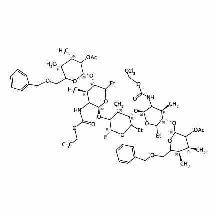 CCC1O[C@@H](OC2[C@@H](F)OC(CC)[C@@H](O[C@@H]3OC(CC)[C@@H](O[C@@H]4OC(COCc5ccccc5)[C@H](C)[C@H](C)C4OC(C)=O)[C@H](C)C3NC(=O)OCC(Cl)(Cl)Cl)[C@H]2C)C(NC(=O)OCC(Cl)(Cl)Cl)[C@@H](C)[C@@H]1O[C@@H]1OC(COCc2ccccc2)[C@H](C)[C@H](C)C1OC(C)=O